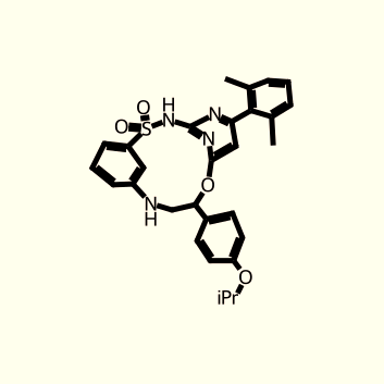 Cc1cccc(C)c1-c1cc2nc(n1)NS(=O)(=O)c1cccc(c1)NCC(c1ccc(OC(C)C)cc1)O2